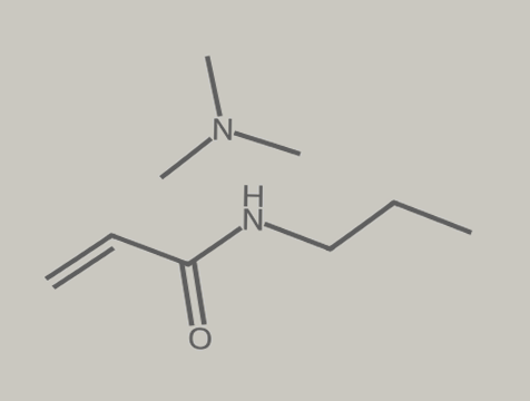 C=CC(=O)NCCC.CN(C)C